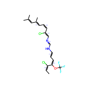 C\C=C(Cl)/C(=C\C=C\N/C=N/C=C(Cl)/C=C\C=C(/C)C=C(C)C)OC(F)(F)F